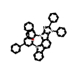 c1ccc(-c2cc(-c3ccccc3)nc(-n3c4ccccc4c4ccc5c6c(nc(-c7ccccc7)n6-c6ccccc6)n(-c6ccccc6)c5c43)c2)cc1